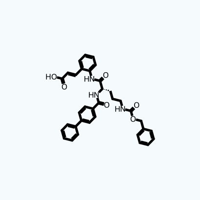 O=C(O)C=Cc1ccccc1NC(=O)[C@H](CCCNC(=O)OCc1ccccc1)NC(=O)c1ccc(-c2ccccc2)cc1